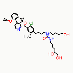 Cc1cc(COC2(c3cnccc3-c3ccccc3OC3CC3)CC2)c(Cl)cc1CCCCN(CCCCCO)C(=O)NCCCCC(O)CO